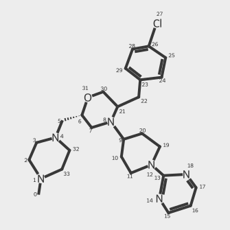 CN1CCN(C[C@H]2CN(C3CCN(c4ncccn4)CC3)C(Cc3ccc(Cl)cc3)CO2)CC1